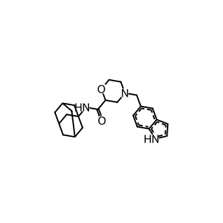 O=C(NC12CC3CC(CC(C3)C1)C2)C1CN(Cc2ccc3[nH]ccc3c2)CCO1